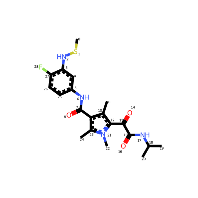 CSNc1cc(NC(=O)c2c(C)c(C(=O)C(=O)NC(C)C)n(C)c2C)ccc1F